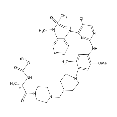 COc1cc(N2CCC(CN3CCN(C(=O)[C@H](C)NC(=O)OC(C)(C)C)CC3)CC2)c(C)cc1Nc1ncc(Cl)c(Nc2ccccc2N(C)S(C)(=O)=O)n1